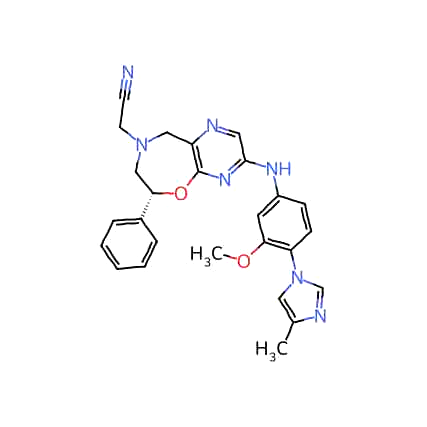 COc1cc(Nc2cnc3c(n2)O[C@H](c2ccccc2)CN(CC#N)C3)ccc1-n1cnc(C)c1